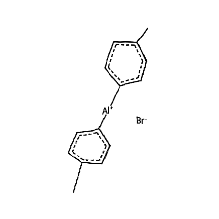 Cc1cc[c]([Al+][c]2ccc(C)cc2)cc1.[Br-]